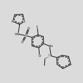 CC[C@H](Nc1cc(F)c(S(=O)(=O)Nc2nccs2)cc1Cl)c1ccccc1